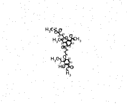 CCCc1c(OCCC[S+]([O-])c2ccc(C(C)=O)c(OCCCC(=O)OCC)c2CCC)ccc(C(C)=O)c1O